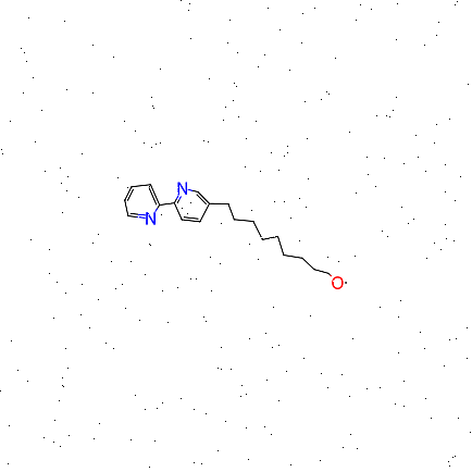 [O]CCCCCCCCCc1ccc(-c2ccccn2)nc1